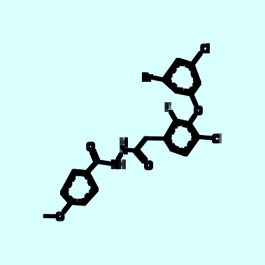 COc1ccc(C(=O)NNC(=O)Cc2ccc(Cl)c(Oc3cc(Cl)cc(Br)c3)c2F)cc1